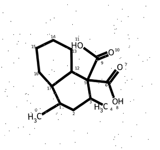 CC1CC(C)C(C(=O)O)(C(=O)O)C2CCCCC12